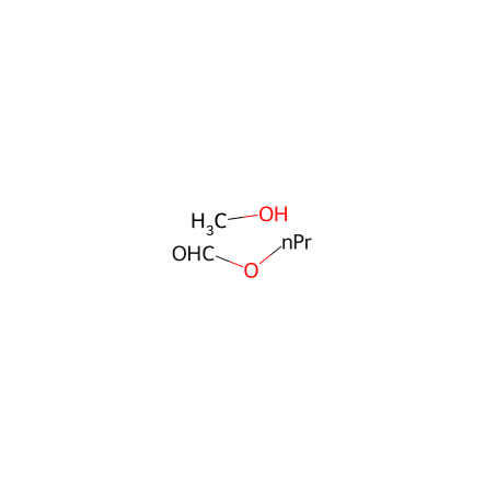 CCCOC=O.CO